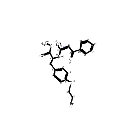 COC(=O)C(Cc1ccc(OCCBr)cc1)N/C(C)=C\C(=O)c1ccccc1